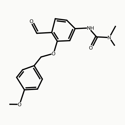 COc1ccc(COc2cc(NC(=O)N(C)C)ccc2C=O)cc1